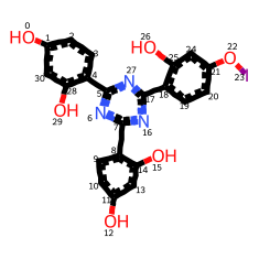 Oc1ccc(-c2nc(-c3ccc(O)cc3O)nc(-c3ccc(OI)cc3O)n2)c(O)c1